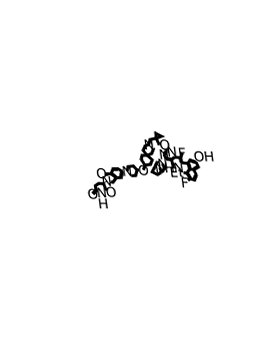 CCc1c(F)ccc2cc(O)cc(-c3ncc4c(N5CC6CCC(C5)N6)nc(OCC5(CN6CCC7(CCC(OC8CCN(c9ccc%10c(c9)CN([C@H]9CCC(=O)NC9=O)C%10=O)CC8)CC7)CC6)CC5)nc4c3F)c12